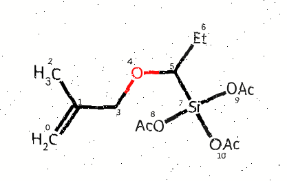 C=C(C)COC(CC)[Si](OC(C)=O)(OC(C)=O)OC(C)=O